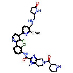 COc1nc(-c2ccnc(-c3cccc(NC(=O)c4nc5c(n4C)CCN(C(=O)[C@@H]4CCCNC4)C5)c3Cl)c2Cl)ccc1CNC[C@H]1CCC(=O)N1